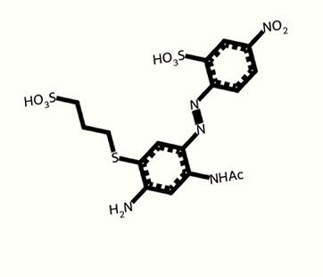 CC(=O)Nc1cc(N)c(SCCCS(=O)(=O)O)cc1N=Nc1ccc([N+](=O)[O-])cc1S(=O)(=O)O